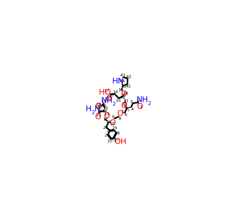 NC(=O)CC[C@@H](COCCO[C@H](CO[C@@H](CC(N)=O)C(N)=O)Cc1ccc(O)cc1)OC[C@H](CCC(=O)O)OC[C@@H]1CCCN1